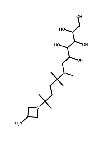 CN(CC(O)C(O)C(O)C(O)CO)C(C)(C)CCC(C)(C)N1CC(N)C1